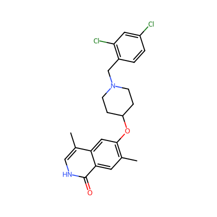 Cc1cc2c(=O)[nH]cc(C)c2cc1OC1CCN(Cc2ccc(Cl)cc2Cl)CC1